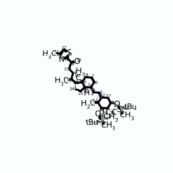 C=C1/C(=C\C=C2/CCC[C@]3(C)[C@@H]([C@H](C)CCC(=O)c4nc(C)cs4)CC[C@@H]23)C[C@@H](O[Si](C)(C)C(C)(C)C)C[C@@H]1O[Si](C)(C)C(C)(C)C